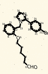 O=CCCCCCOc1ccccc1Cn1ccnc1-c1ccc(Br)cc1